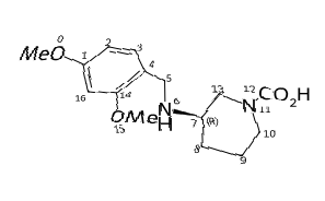 COc1ccc(CN[C@@H]2CCCN(C(=O)O)C2)c(OC)c1